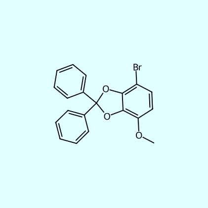 COc1ccc(Br)c2c1OC(c1ccccc1)(c1ccccc1)O2